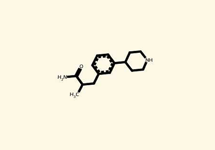 CC(Cc1cccc(C2CCNCC2)c1)C(N)=O